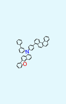 c1ccc(-c2cccc(N(c3ccc(-c4cccc5c4ccc4ccc6ccccc6c45)cc3)c3cccc4c3ccc3c5ccccc5oc43)c2)cc1